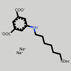 CCCCCCCCCCCCCCCCNc1cc(C(=O)[O-])cc(C(=O)[O-])c1.[Na+].[Na+]